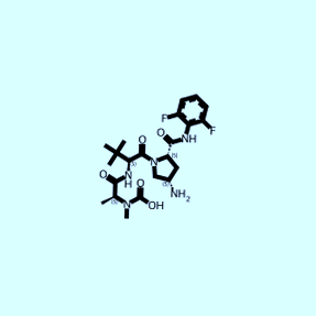 C[C@@H](C(=O)N[C@H](C(=O)N1C[C@@H](N)C[C@H]1C(=O)Nc1c(F)cccc1F)C(C)(C)C)N(C)C(=O)O